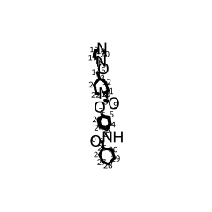 O=C(Nc1ccc(OC(=O)N2CCC(COn3ccnc3)CC2)cc1)C1CCCCC1